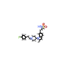 Cc1cc2ccc(CC3CS(=O)(=O)N3)cc2n1C1CCN(CCc2ccc(F)cc2)CC1